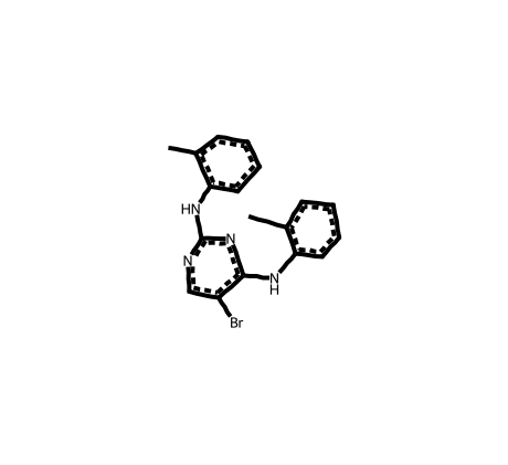 Cc1ccccc1Nc1ncc(Br)c(Nc2ccccc2C)n1